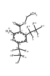 CCOC(=O)c1c(C(F)(F)C(F)(F)F)cc(C(F)(F)C(F)(F)F)nc1N